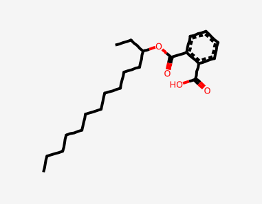 CCCCCCCCCCCC(CC)OC(=O)c1ccccc1C(=O)O